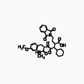 CNC(=O)C(Cc1ccc(OC)cc1)NC(=O)C(C1CCCCC1)C(CCN1C(=O)c2ccccc2C1=O)C(=O)O